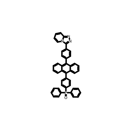 O=P(c1ccccc1)(c1ccccc1)c1ccc(-c2c3ccccc3c(-c3ccc(-c4nnc5ccccn45)cc3)c3ccccc23)cc1